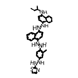 CCC(C)Nc1ccc(NNc2ccc(NNc3ccc(NNc4nccs4)cc3C)c3ccccc23)c2ccccc12